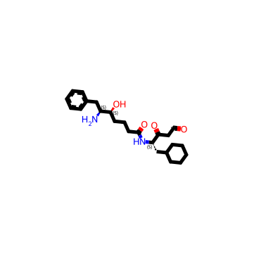 N[C@@H](Cc1ccccc1)[C@@H](O)CCCC(=O)N[C@@H](CC1CCCCC1)C(=O)C[C]=O